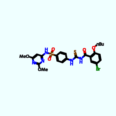 CCCCOc1ccc(Br)cc1C(=O)NC(=S)Nc1ccc(S(=O)(=O)Nc2cc(OC)nc(OC)n2)cc1